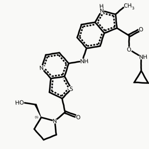 Cc1[nH]c2ccc(Nc3ccnc4cc(C(=O)N5CCC[C@H]5CO)sc34)cc2c1C(=O)ONC1CC1